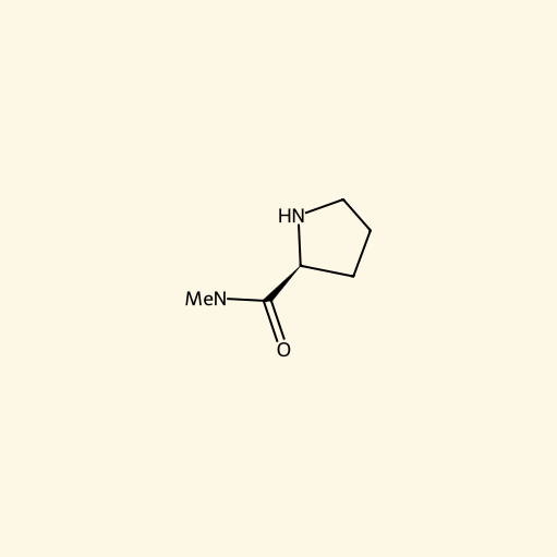 CNC(=O)[C@@H]1CCCN1